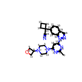 Cc1nc(N2CCN(C3COC3)CC2)cc(-n2ncc3ccc(C4(C#N)CCC4)cc32)n1